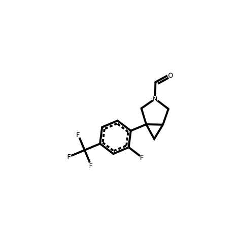 O=CN1CC2CC2(c2ccc(C(F)(F)F)cc2F)C1